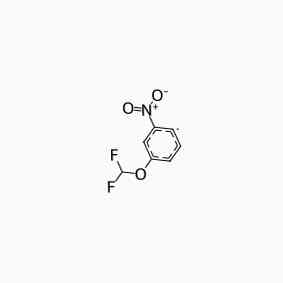 O=[N+]([O-])c1[c]ccc(OC(F)F)c1